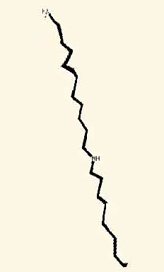 CCCCCCCCNCCCCCCCCCCN